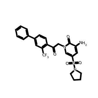 Nc1cc(S(=O)(=O)N2CCCC2)cn(CC(=O)c2ccc(-c3ccccc3)cc2C(F)(F)F)c1=O